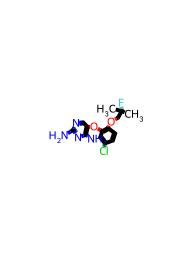 CC(C)(F)COc1ccc(Cl)cc1Oc1cnc(N)nc1N